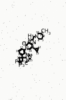 C[C@H]1CCCN(Cc2nc3c(C4CC4)cn(-c4cccc(C5(c6nncn6C)CC(F)(F)C5)c4)c(=O)c3[nH]2)C1